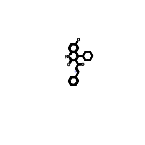 O=C(/C=C/c1ccccc1)c1c(C2CCCCC2)c2cc(Cl)ccc2[nH]c1=O